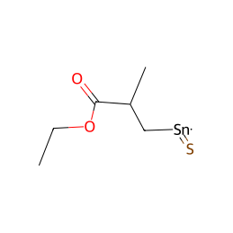 CCOC(=O)C(C)[CH2][Sn]=[S]